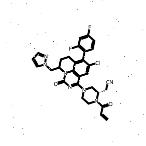 C=CC(=O)N1CCN(c2nc(=O)n3c4c(c(-c5ccc(F)cc5F)c(Cl)cc24)CCC3Cn2cccn2)C[C@@H]1CC#N